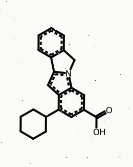 O=C(O)c1cc(C2CCCCC2)c2cc3n(c2c1)Cc1ccccc1-3